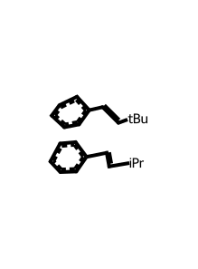 CC(C)(C)C=Cc1ccccc1.CC(C)C=Cc1ccccc1